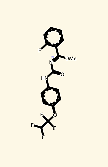 CO/C(=N\C(=O)Nc1ccc(OC(F)(F)C(F)F)cc1)c1ccccc1F